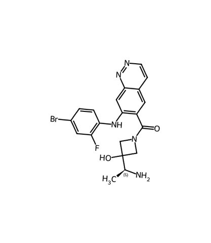 C[C@H](N)C1(O)CN(C(=O)c2cc3ccnnc3cc2Nc2ccc(Br)cc2F)C1